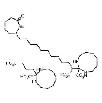 O=C(O)CCCC1(C(=O)O)NCCCCCCN1.O=C1CCCCC(CCCCCCCCCCC(C(=O)O)C2(C(=O)O)NCCCCCCN2)N1